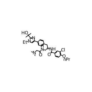 CCCOc1ccc(C(=O)N[C@@H](CNC(=O)CN(C)C)Cc2ccc(-c3cn(CC)c(C(C)(C)O)n3)cc2)cc1Cl